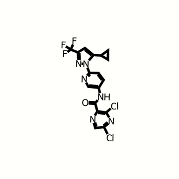 O=C(Nc1ccc(-n2nc(C(F)(F)F)cc2C2CC2)nc1)c1ncc(Cl)nc1Cl